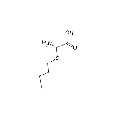 CCCCS[C@H](N)C(=O)O